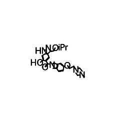 CC(C)OCc1n[nH]c2cc(O)c(C(=O)N3Cc4ccc(OCCN5CCN(C)CC5)cc4C3)cc12